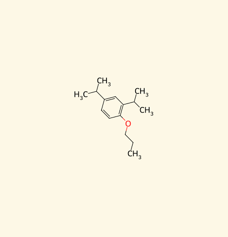 CCCOc1ccc(C(C)C)cc1C(C)C